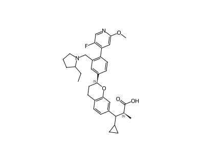 CCC1CCCN1Cc1cc([C@@H]2CCc3ccc(C(C4CC4)[C@H](C)C(=O)O)cc3O2)ccc1-c1cc(OC)ncc1F